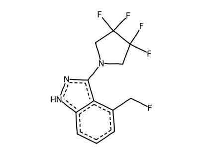 FCc1cccc2[nH]nc(N3CC(F)(F)C(F)(F)C3)c12